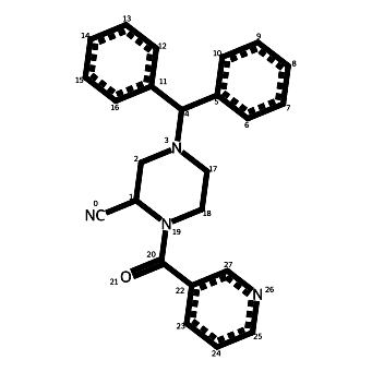 N#CC1CN(C(c2ccccc2)c2ccccc2)CCN1C(=O)c1cccnc1